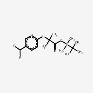 CC(C)(Oc1ccc(C(F)F)cn1)C(=O)O[Si](C)(C)C(C)(C)C